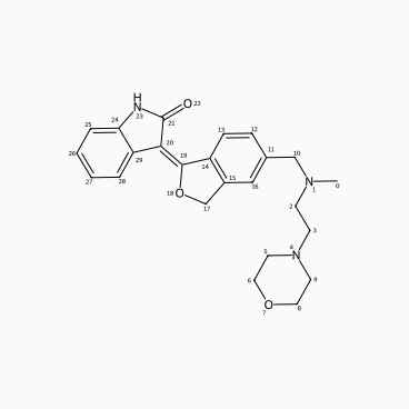 CN(CCN1CCOCC1)Cc1ccc2c(c1)COC2=C1C(=O)Nc2ccccc21